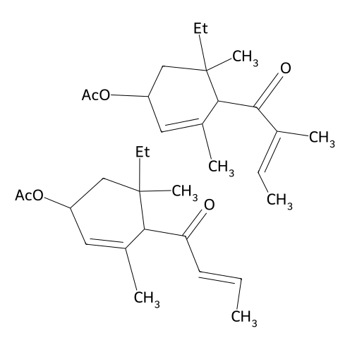 CC=C(C)C(=O)C1C(C)=CC(OC(C)=O)CC1(C)CC.CC=CC(=O)C1C(C)=CC(OC(C)=O)CC1(C)CC